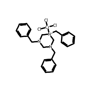 [Cl][Cr]([Cl])([Cl])[N+]1(Cc2ccccc2)CN(Cc2ccccc2)CN(Cc2ccccc2)C1